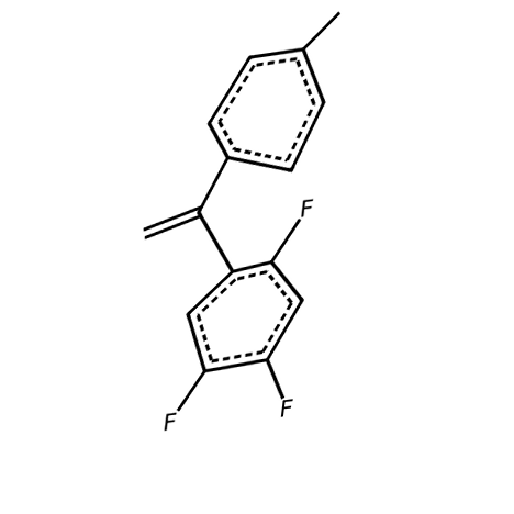 C=C(c1ccc(C)cc1)c1cc(F)c(F)cc1F